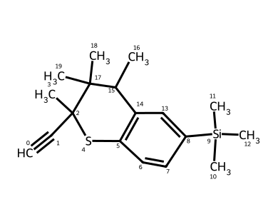 C#CC1(C)Sc2ccc([Si](C)(C)C)cc2C(C)C1(C)C